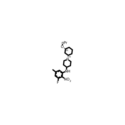 CCCO[C@@H]1CCC[C@H](N2CCC(Nc3cc(C)cc(F)c3[N+](=O)[O-])CC2)C1